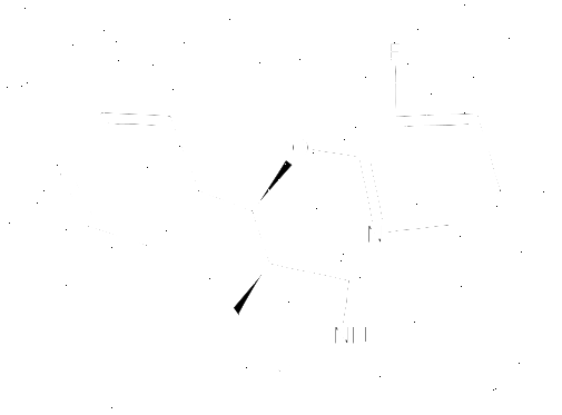 Fc1cccnc1O[C@H](c1ccccc1)[C@@H]1CCNC1